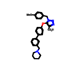 COc1ccc(Cn2nnc(C(=O)O)c2Oc2ccc(-c3cccc(CN4CCCCC4)c3)cc2)cc1